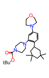 CC1(C)CC(c2ccc(N3CCOCC3)cc2N2CCN(C(=O)OC(C)(C)C)CC2)CC(C)(C)C1